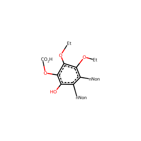 CCCCCCCCCc1c(O)c(OC(=O)O)c(OCC)c(OCC)c1CCCCCCCCC